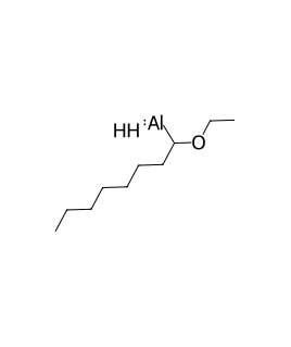 CCCCCCC[CH]([Al])OCC.[HH]